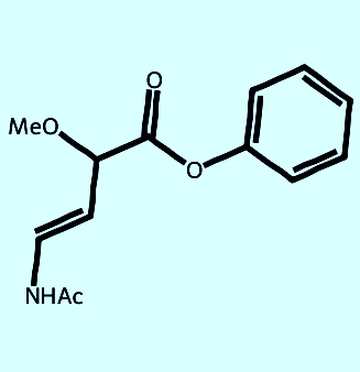 COC(C=CNC(C)=O)C(=O)Oc1ccccc1